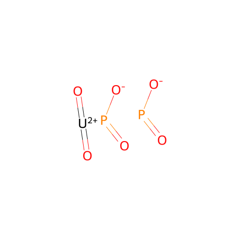 O=P[O-].O=P[O-].[O]=[U+2]=[O]